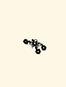 C=C1O[C@H](COCc2ccccc2)[C@@H](OCc2ccccc2)[C@@H](F)[C@H]1OCc1ccccc1